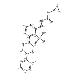 O=C(CC1CC1)NNc1nncc(N2CCC(c3ccccc3F)CC2)c1C(F)(F)F